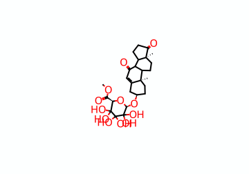 COC(=O)[C@H]1O[C@@H](O[C@@H]2CC[C@@]3(C)C(=CC(=O)C4C3CC[C@]3(C)C(=O)CCC43)C2)C(O)(O)C(O)(O)C1(O)O